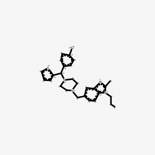 CCCn1c(C)nc2cc(CN3CCN(C(c4ccc(Cl)cc4)c4cccs4)CC3)ccc21